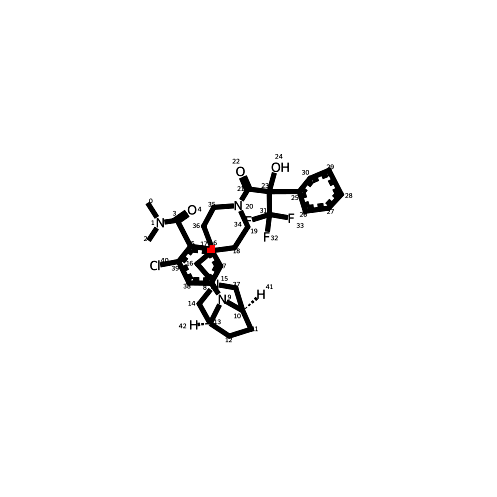 CN(C)C(=O)c1ccc(N2[C@@H]3CC[C@H]2CN(CC2CCN(C(=O)C(O)(c4ccccc4)C(F)(F)F)CC2)C3)cc1Cl